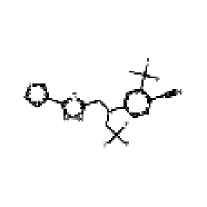 N#Cc1ccc(N(Cc2nnc(-c3ccsc3)o2)CC(F)(F)F)cc1C(F)(F)F